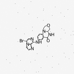 O=C1NC2COCCN2c2ccc(Nc3ncc(Br)n4ccnc34)cc21